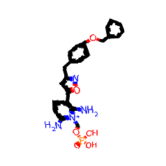 Nc1ccc(-c2cc(Cc3ccc(OCc4ccccc4)cc3)no2)c(N)[n+]1COP(=O)(O)O